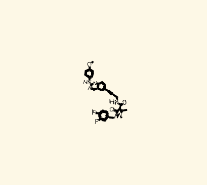 COc1ccc(Nc2ncc3cc(C#CCNC(=O)c4c(C)n(C)n(Cc5ccc(F)c(F)c5)c4=O)ccc3n2)cc1